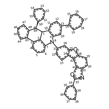 CC1c2c(cccc2N(c2cccc(-c3ccccc3)c2)c2ccc3c(c2)oc2ccc4nc(-c5ccccc5)oc4c23)-c2ccccc2[C@H]1c1ccccc1